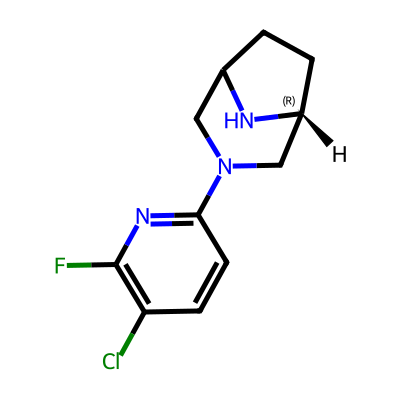 Fc1nc(N2CC3CC[C@H](C2)N3)ccc1Cl